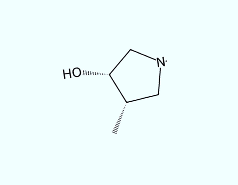 C[C@H]1C[N]C[C@H]1O